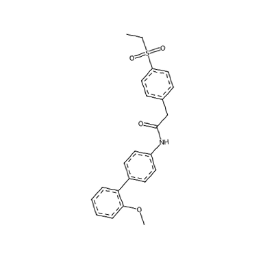 CCS(=O)(=O)c1ccc(CC(=O)Nc2ccc(-c3ccccc3OC)cc2)cc1